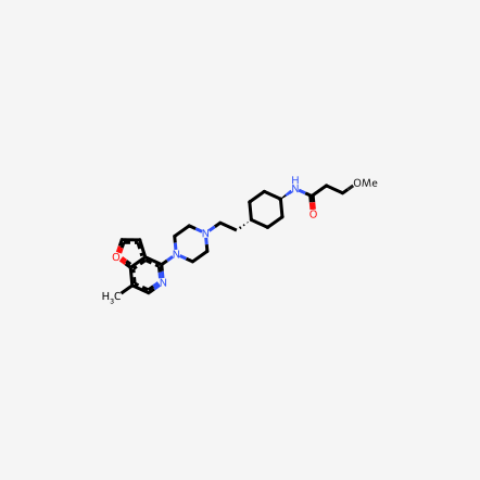 COCCC(=O)N[C@H]1CC[C@H](CCN2CCN(c3ncc(C)c4occc34)CC2)CC1